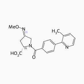 CO/N=C1\C[C@@H](C(=O)O)N(C(=O)c2ccc(-c3ncccc3C)cc2)C1